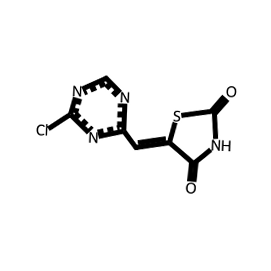 O=C1NC(=O)/C(=C/c2ncnc(Cl)n2)S1